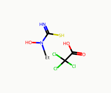 CCN(O)C(=N)S.O=C(O)C(Cl)(Cl)Cl